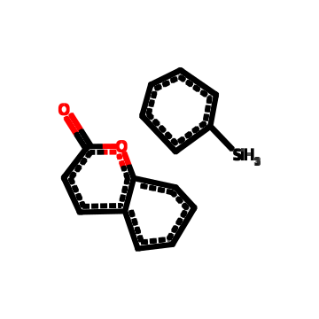 O=c1ccc2ccccc2o1.[SiH3]c1ccccc1